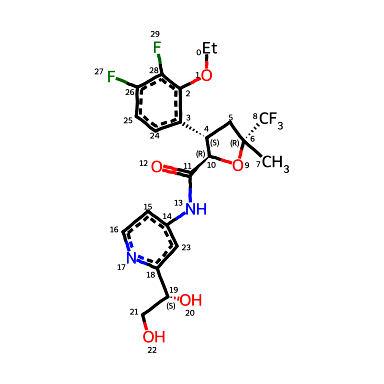 CCOc1c([C@@H]2C[C@](C)(C(F)(F)F)O[C@H]2C(=O)Nc2ccnc([C@H](O)CO)c2)ccc(F)c1F